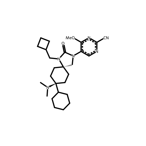 COc1nc(C#N)ncc1N1C[C@]2(CC[C@](C3CCCCC3)(N(C)C)CC2)N(CC2CCC2)C1=O